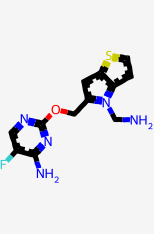 NCn1c(COc2ncc(F)c(N)n2)cc2sccc21